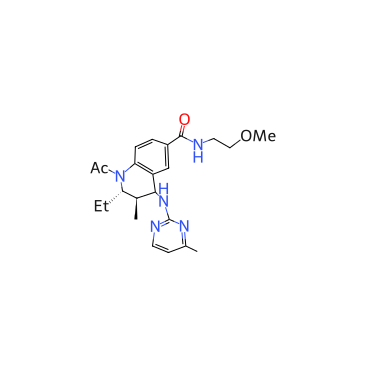 CC[C@H]1[C@H](C)C(Nc2nccc(C)n2)c2cc(C(=O)NCCOC)ccc2N1C(C)=O